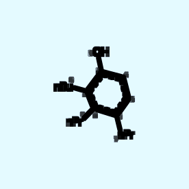 CCCCc1c(O)ccc(CCC)c1CCC